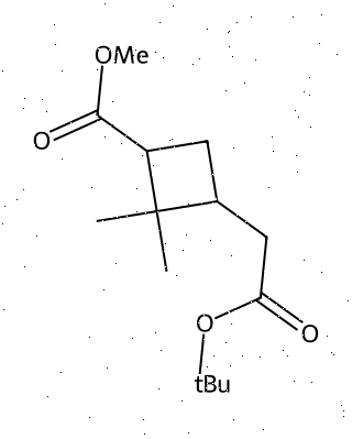 COC(=O)C1CC(CC(=O)OC(C)(C)C)C1(C)C